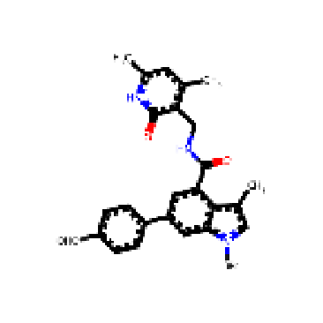 Cc1cc(C)c(CNC(=O)c2cc(-c3ccc(C=O)cc3)cc3c2c(C)cn3C(C)C)c(=O)[nH]1